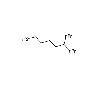 CCCC(CCC)CCCCS